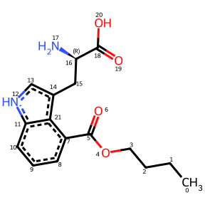 CCCCOC(=O)c1cccc2[nH]cc(C[C@@H](N)C(=O)O)c12